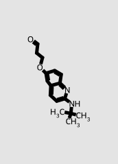 CC(C)(C)Nc1ccc2cc(OCCC=O)ccc2n1